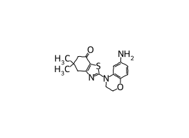 CC1(C)CC(=O)c2sc(N3CCOc4ccc(N)cc43)nc2C1